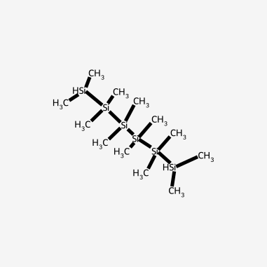 C[SiH](C)[Si](C)(C)[Si](C)(C)[Si](C)(C)[Si](C)(C)[SiH](C)C